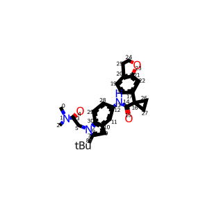 CN(C)C(=O)Cn1c(C(C)(C)C)cc2cc(NC(=O)C3(c4ccc5c(c4)OCC5)CC3)ccc21